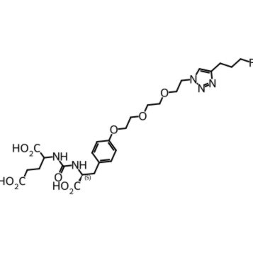 O=C(O)CCC(NC(=O)N[C@@H](Cc1ccc(OCCOCCOCCn2cc(CCCF)nn2)cc1)C(=O)O)C(=O)O